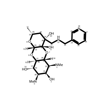 CN[C@@H]1[C@H](O)[C@H](NC)[C@H]2O[C@]3(O)[C@H](O[C@@H]2[C@H]1O)O[C@H](C)C[C@@]3(O)CNCc1cccnc1